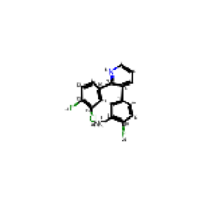 N#Cc1cc(-c2cccnc2-c2ccc(F)c(Cl)c2)ccc1F